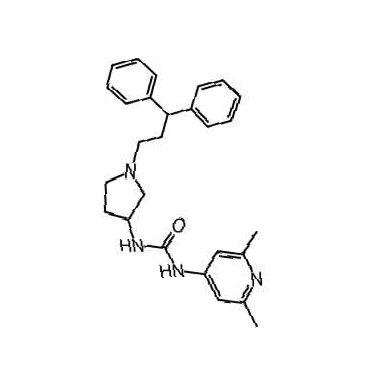 Cc1cc(NC(=O)NC2CCN(CCC(c3ccccc3)c3ccccc3)C2)cc(C)n1